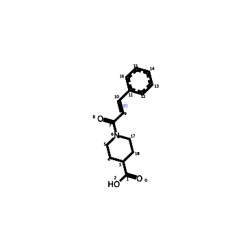 O=C(O)C1CCN(C(=O)/C=C/c2ccccc2)CC1